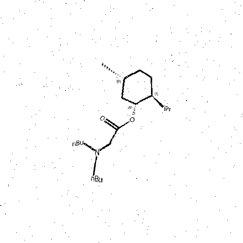 CCCCN(CCCC)CC(=O)O[C@@H]1C[C@H](C)CC[C@H]1C(C)C